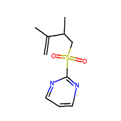 C=C(C)C(C)CS(=O)(=O)c1ncccn1